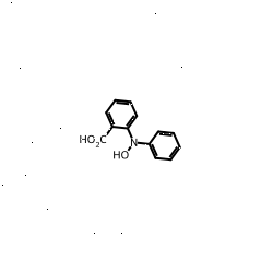 O=C(O)c1ccccc1N(O)c1ccccc1